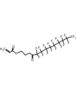 C=CC(=O)OCCCC(=O)C(F)(F)C(F)(F)C(F)(F)C(F)(F)C(F)(F)C(F)(F)C(F)(F)C(F)(F)C(F)(F)F